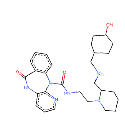 O=C1Nc2cccnc2N(C(=O)NCCN2CCCCC2CNCC2CCC(O)CC2)c2ccccc21